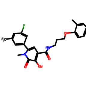 Cc1ccccc1OCCCNC(=O)c1cc(-c2cc(F)cc(C(F)(F)F)c2)n(C)c(=O)c1O